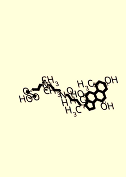 CC(CCC(=O)NCCC[N+](C)(C)CCCS(=O)(=O)O)[C@H]1CCC2C3C(C[C@H](O)[C@@]21C)C1C(C[C@H](O)C[C@H]1C)C[C@H]3O